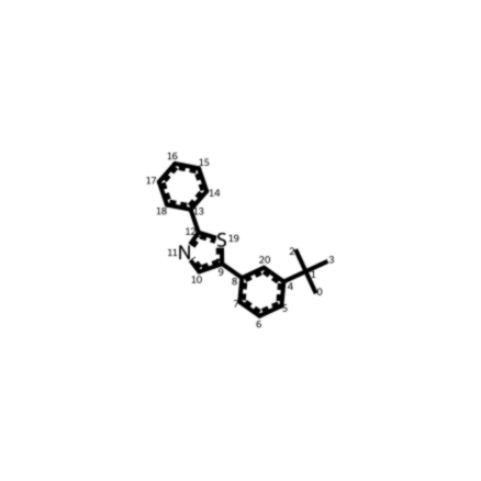 CC(C)(C)c1cccc(-c2cnc(-c3ccccc3)s2)c1